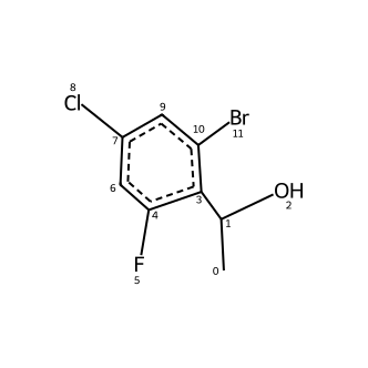 CC(O)c1c(F)cc(Cl)cc1Br